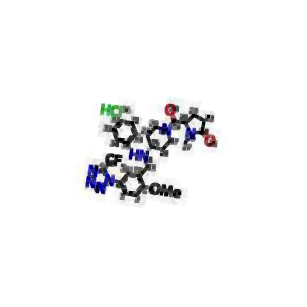 COc1ccc(-n2nnnc2C(F)(F)F)cc1CN[C@H]1CCN(C(=O)C2CCC(=O)N2C)C[C@H]1c1ccccc1.Cl